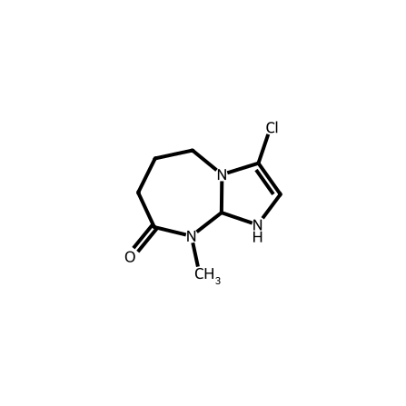 CN1C(=O)CCCN2C(Cl)=CNC12